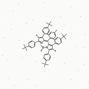 CB(F)n1c(/C(=C2\N=C(c3ccc(C(C)(C)C)cc3)C(I)=C2c2ccc(C(C)(C)C)cc2)c2c(C)cc(C)cc2C)c(-c2ccc(C(C)(C)C)cc2)c(I)c1-c1ccc(C(C)(C)C)cc1